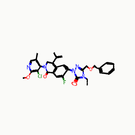 C=C(C)C1CN(c2c(C)cnc(OC)c2Cl)C(=O)c2cc(F)c(-n3nc(COCc4ccccc4)n(CC)c3=O)cc21